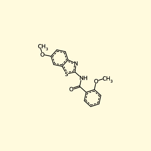 COc1ccc2nc(NC(=O)c3ccccc3OC)sc2c1